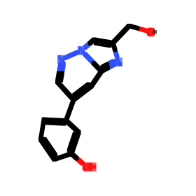 [O]Cc1cn2ncc(-c3cccc(O)c3)cc2n1